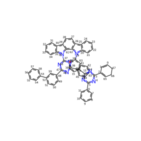 C1=CC(c2nc(-c3ccccc3)nc(-c3cccc(-n4c5ccccc5c5ccc6c7ccccc7n(-c7nc(-c8ccccc8)nc(-c8cccc(-c9ccccc9)c8)n7)c6c54)c3)n2)=CCC1